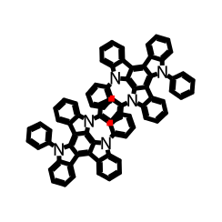 c1ccc(-n2c3ccccc3c3c4c5ccccc5n(-c5ccccc5)c4c4c(c5ccccc5n4-c4ccc(-n5c6ccccc6c6c7c(c8ccccc8n7-c7ccccc7)c7c8ccccc8n(-c8ccccc8)c7c65)cc4)c32)cc1